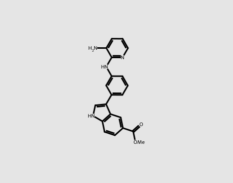 COC(=O)c1ccc2[nH]cc(-c3cccc(Nc4ncccc4N)c3)c2c1